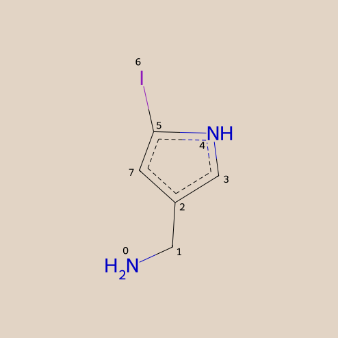 NCc1c[nH]c(I)c1